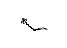 CCCCCCCCCCCCCC/C=C\CCCCCCCOP(=O)(O)C(CC)[N+](C)(C)C